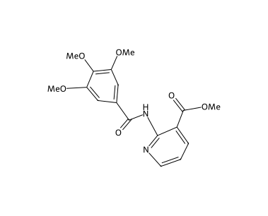 COC(=O)c1cccnc1NC(=O)c1cc(OC)c(OC)c(OC)c1